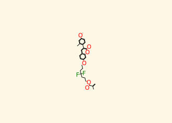 C=C(C)C(=O)OCCCC(F)(F)CCCOc1ccc2cc(-c3ccc(OC)cc3C)c(=O)oc2c1